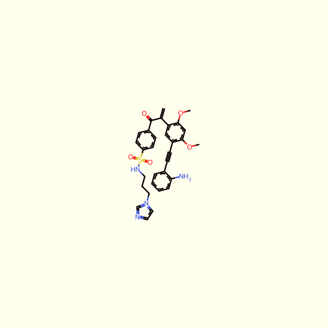 C=C(C(=O)c1ccc(S(=O)(=O)NCCCn2ccnc2)cc1)c1cc(C#Cc2ccccc2N)c(OC)cc1OC